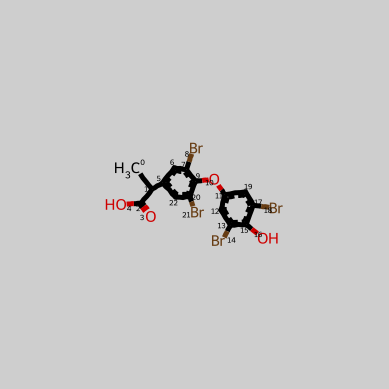 CC(C(=O)O)c1cc(Br)c(Oc2cc(Br)c(O)c(Br)c2)c(Br)c1